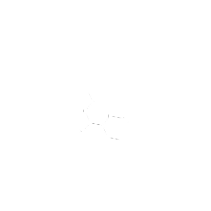 [3H]P(PPP)P(PP)PP